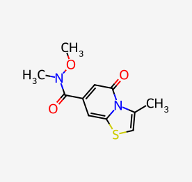 CON(C)C(=O)c1cc(=O)n2c(C)csc2c1